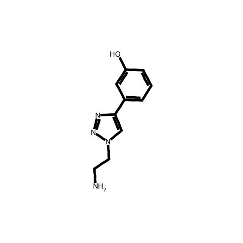 NCCn1cc(-c2cccc(O)c2)nn1